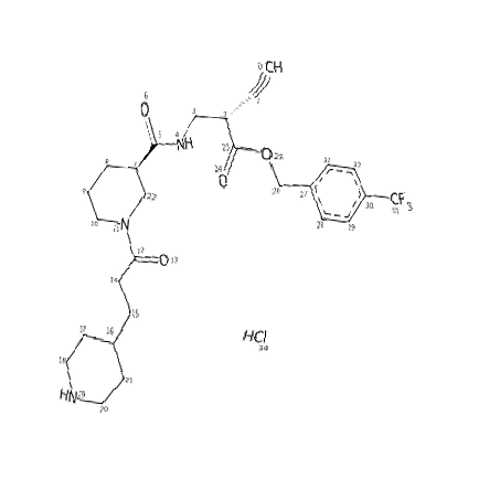 C#C[C@@H](CNC(=O)[C@@H]1CCCN(C(=O)CCC2CCNCC2)C1)C(=O)OCc1ccc(C(F)(F)F)cc1.Cl